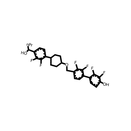 CCCC(O)c1ccc(C2CCC(OCc3ccc(-c4ccc(O)c(F)c4F)c(F)c3F)CC2)c(F)c1F